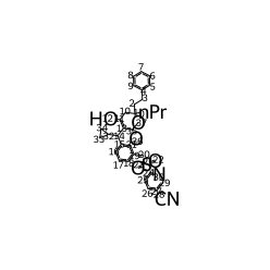 CCCC1(CCc2ccccc2)CC(O)=C(C(c2cccc(CS(=O)(=O)c3ccc(C#N)cn3)c2)C2CC2)C(=O)O1